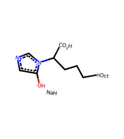 CCCCCCCCCCCC(C(=O)O)n1cncc1O.[NaH]